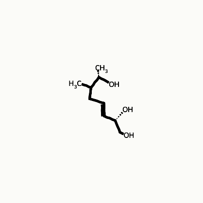 CC(C/C=C/[C@H](O)CO)[C@H](C)O